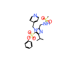 CC(C)c1nc(CNS(C)(=O)=O)n(Cc2ccncc2)c1S(=O)(=O)Oc1ccccc1